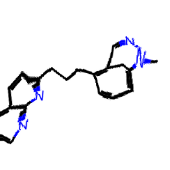 Cn1ncc2c(CCCc3ccc4cccnc4n3)cccc21